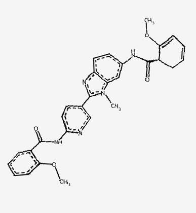 COC1=CC=CC[C@H]1C(=O)Nc1ccc2nc(-c3ccc(NC(=O)c4ccccc4OC)nc3)n(C)c2c1